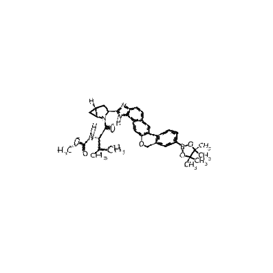 COC(=O)N[C@H](C(=O)N1C2C[C@@H]2C[C@H]1c1nc2ccc3cc4c(cc3c2[nH]1)OCc1cc(B2OC(C)(C)C(C)(C)O2)ccc1-4)C(C)C